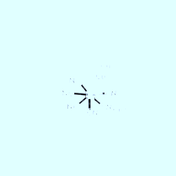 N#[C][Fe-3]([C]#N)([C]#N)([C]#N)([C]#N)[C]#N.[Cu+].[Cu+].[Cu+]